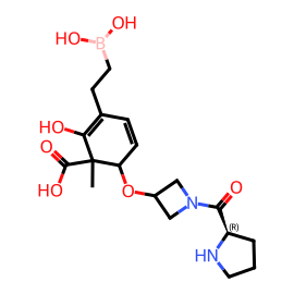 CC1(C(=O)O)C(O)=C(CCB(O)O)C=CC1OC1CN(C(=O)[C@H]2CCCN2)C1